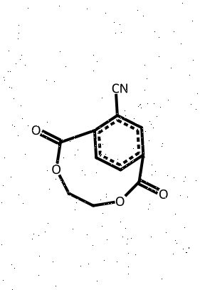 N#Cc1cc2ccc1C(=O)OCCOC2=O